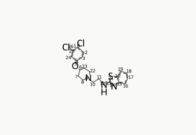 Clc1ccc(OC2CCN(CCNc3nc4ccccc4s3)CC2)cc1Cl